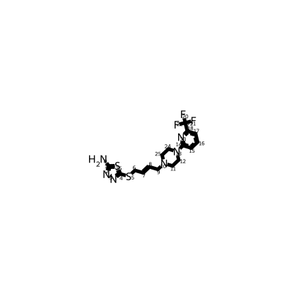 Nc1nnc(SCC=CCN2CCN(c3cccc(C(F)(F)F)n3)CC2)s1